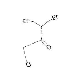 CCC(CC)C(=O)CCl